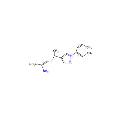 C/C=C\C(=C/C)n1cc(C(C)S/C=C(\N)C(=O)O)cn1